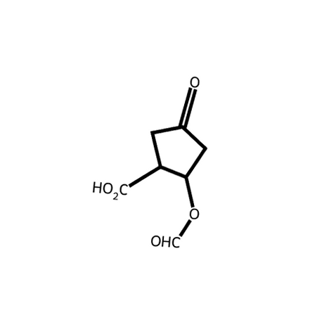 O=COC1CC(=O)CC1C(=O)O